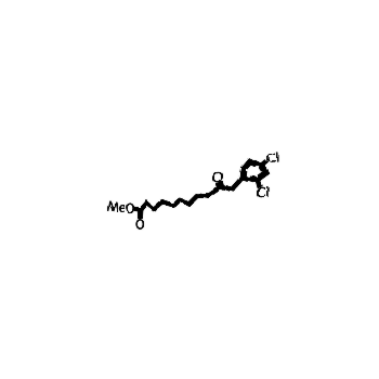 COC(=O)CCCCCCCCC(=O)Cc1ccc(Cl)cc1Cl